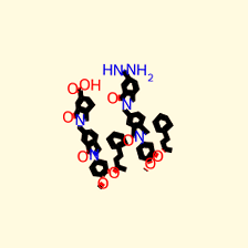 COc1ccc(N2Cc3ccc(CN4Cc5ccc(C(=N)N)cc5C4=O)cc3C2=O)cc1OC(C)CCc1ccccc1.COc1ccc(N2Cc3ccc(CN4Cc5ccc(C(=O)O)cc5C4=O)cc3C2=O)cc1OC(C)CCc1ccccc1